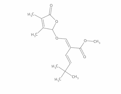 COC(=O)C(/C=C/C(C)(C)C)=C/OC1OC(=O)C(C)=C1C